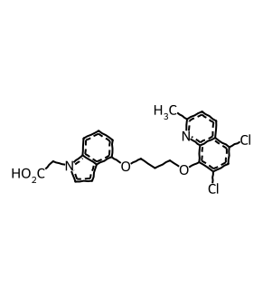 Cc1ccc2c(Cl)cc(Cl)c(OCCCOc3cccc4c3ccn4CC(=O)O)c2n1